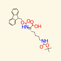 CC(C)(C)OC(=O)NCCCCC[C@H](NC(=O)OCC1c2ccccc2-c2ccccc21)C(=O)O